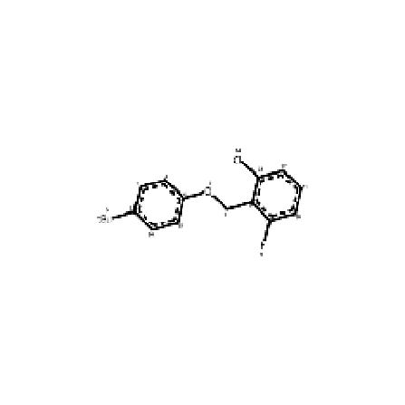 CC(C)(C)c1ccc(OCc2c(F)cccc2Cl)cc1